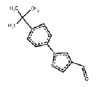 CC(C)(C)c1ccc(-n2cc(C=O)cn2)cc1